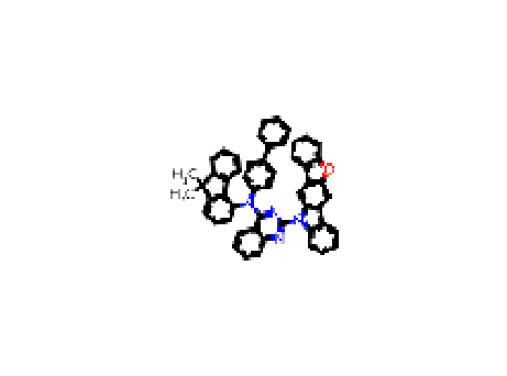 CC1(C)c2ccccc2-c2c(N(c3ccc(-c4ccccc4)cc3)c3nc(-n4c5ccccc5c5cc6oc7ccccc7c6cc54)nc4ccccc34)cccc21